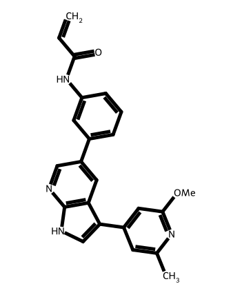 C=CC(=O)Nc1cccc(-c2cnc3[nH]cc(-c4cc(C)nc(OC)c4)c3c2)c1